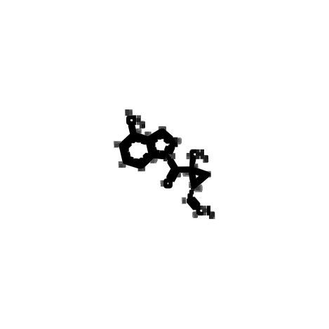 C=C[C@H]1C[C@@]1(C)C(=O)n1ncc2c(C)cccc21